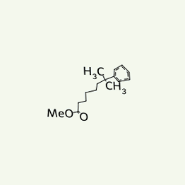 COC(=O)CCCCCC(C)(C)c1ccccc1